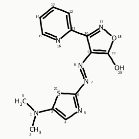 CN(C)c1cnc(N=Nc2c(-c3ccccn3)noc2O)s1